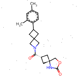 Cc1ccc(C2CC3(C2)CN(C(=O)[C@H]2C[C@]4(COC(=O)N4)C2)C3)c(C)c1